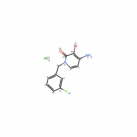 Cl.Nc1ccn(Cc2cccc(F)c2)c(=O)c1Br